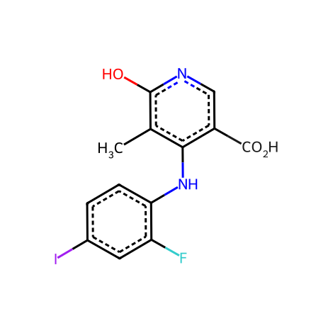 Cc1c(O)ncc(C(=O)O)c1Nc1ccc(I)cc1F